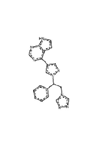 c1ccc(C(Cn2cnnc2)n2cc(-c3ncnc4[nH]ccc34)cn2)cc1